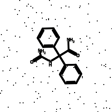 NC(=O)NC(C(N)=O)(c1ccccc1)c1ccccc1